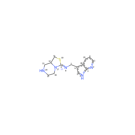 c1cnc2[nH]cc(C/N=C3\SCC4CNCCN34)c2c1